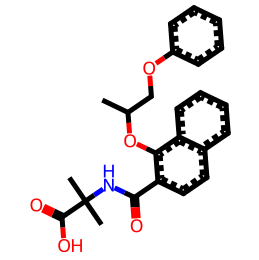 CC(COc1ccccc1)Oc1c(C(=O)NC(C)(C)C(=O)O)ccc2ccccc12